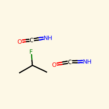 CC(C)F.N=C=O.N=C=O